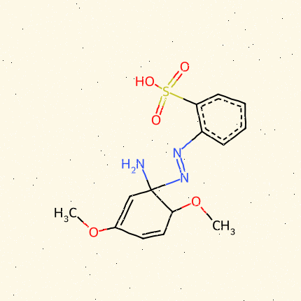 COC1=CC(N)(/N=N/c2ccccc2S(=O)(=O)O)C(OC)C=C1